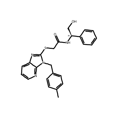 Cc1ccc(Cn2c(SCC(=O)N[C@@H](CO)c3ccccc3)nc3cccnc32)cc1